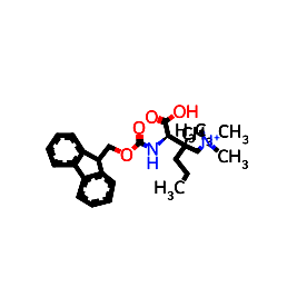 CCC[C@](C)(C[N+](C)(C)C)[C@@H](NC(=O)OCC1c2ccccc2-c2ccccc21)C(=O)O